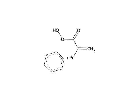 C=C(CCC)C(=O)OO.c1ccccc1